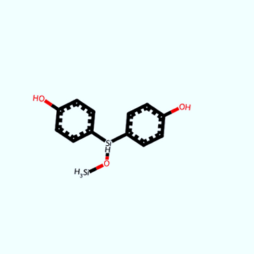 Oc1ccc([SiH](O[SiH3])c2ccc(O)cc2)cc1